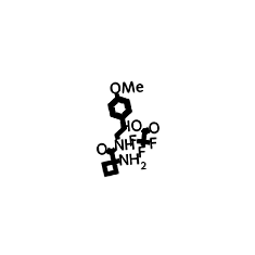 COc1ccc(CCNC(=O)C2(N)CCC2)cc1.O=C(O)C(F)(F)F